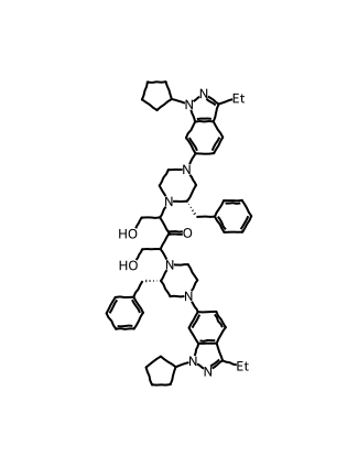 CCc1nn(C2CCCC2)c2cc(N3CCN(C(CO)C(=O)C(CO)N4CCN(c5ccc6c(CC)nn(C7CCCC7)c6c5)C[C@@H]4Cc4ccccc4)[C@@H](Cc4ccccc4)C3)ccc12